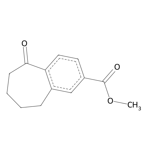 COC(=O)c1ccc2c(c1)CCCCC2=O